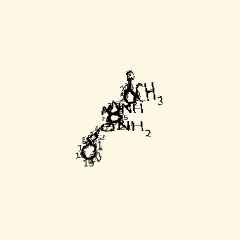 Cc1cc(Nc2ncnc3cc(OCC4CC5(CCCCC5)C4)c(N)cc23)ccc1F